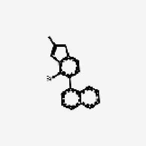 CC1=Cc2c(ccc(-c3cccc4ccccc34)c2Br)C1